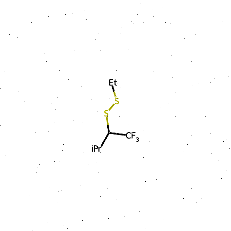 CCSSC(C(C)C)C(F)(F)F